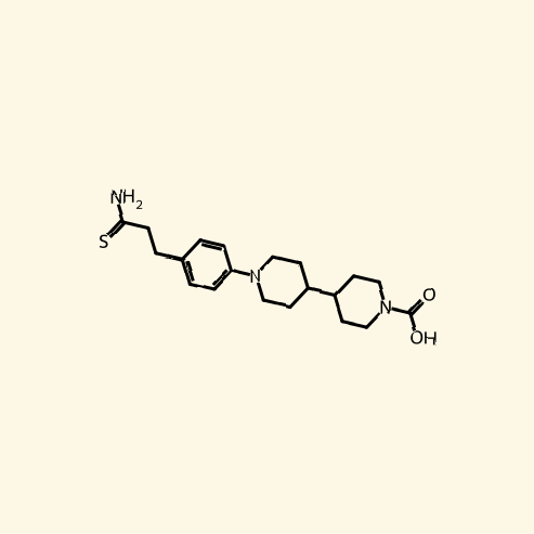 NC(=S)CCc1ccc(N2CCC(C3CCN(C(=O)O)CC3)CC2)cc1